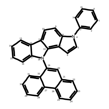 c1ccc(-n2ccc3c2ccc2c4ccccc4n(-c4cc5ccccc5c5ccccc45)c23)cc1